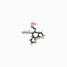 CCCCCCc1c(/C=N/O)c2ccsc2c2sccc12